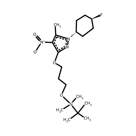 Cc1c([N+](=O)[O-])c(OCCCO[Si](C)(C)C(C)(C)C)nn1[C@H]1CC[C@H](F)CC1